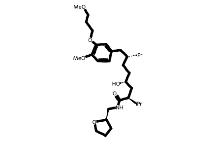 COCCCOc1cc(C[C@@H](CC[C@@H](O)C[C@H](C(=O)NC[C@H]2CCCO2)C(C)C)C(C)C)ccc1OC